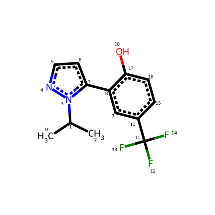 CC(C)n1nccc1-c1cc(C(F)(F)F)ccc1O